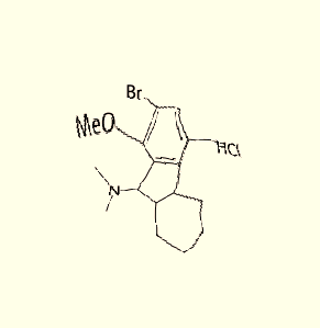 COc1c(Br)cc(C)c2c1C(N(C)C)C1CCCCC21.Cl